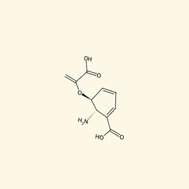 C=C(O[C@H]1C=CC=C(C(=O)O)[C@@H]1N)C(=O)O